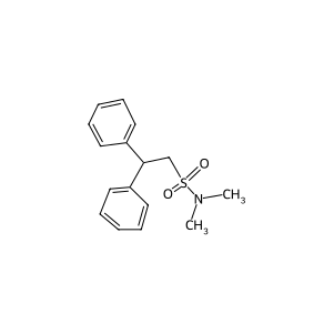 CN(C)S(=O)(=O)CC(c1ccccc1)c1ccccc1